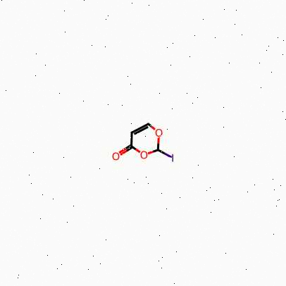 O=C1C=COC(I)O1